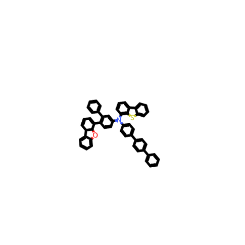 C1=CC2c3ccccc3OC2C(c2ccc(N(c3ccc(-c4ccc(-c5ccccc5)cc4)cc3)c3cccc4c3sc3ccccc34)cc2-c2ccccc2)=C1